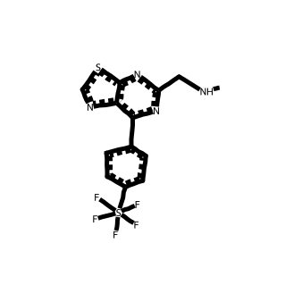 CNCc1nc(-c2ccc(S(F)(F)(F)(F)F)cc2)c2ncsc2n1